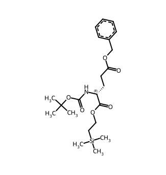 CC(C)(C)OC(=O)N[C@H](CCC(=O)OCc1ccccc1)C(=O)OCC[Si](C)(C)C